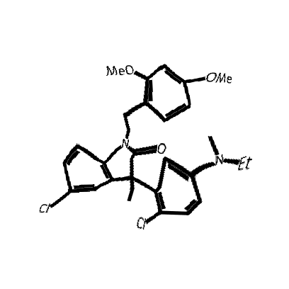 CCN(C)c1ccc(Cl)c(C2(C)C(=O)N(Cc3ccc(OC)cc3OC)c3ccc(Cl)cc32)c1